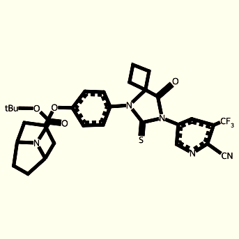 CC(C)(C)OC(=O)N1C2CCC1CC(Oc1ccc(N3C(=S)N(c4cnc(C#N)c(C(F)(F)F)c4)C(=O)C34CCC4)cc1)C2